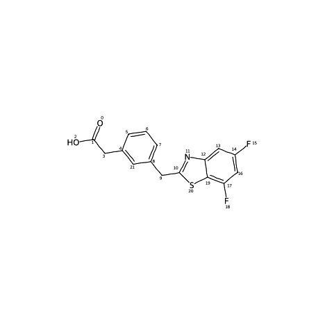 O=C(O)Cc1cccc(Cc2nc3cc(F)cc(F)c3s2)c1